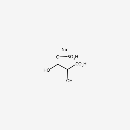 O=C(O)C(O)CO.O=S(=O)([O-])O.[Na+]